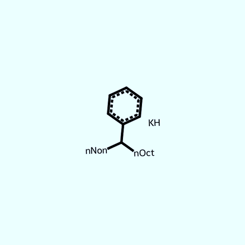 CCCCCCCCCC(CCCCCCCC)c1ccccc1.[KH]